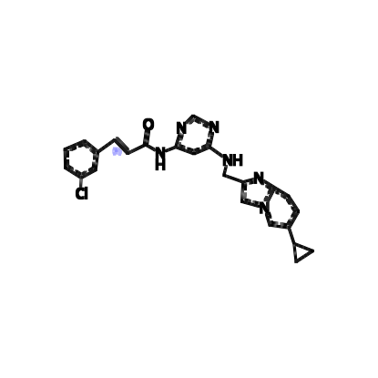 O=C(/C=C/c1cccc(Cl)c1)Nc1cc(NCc2cn3cc(C4CC4)ccc3n2)ncn1